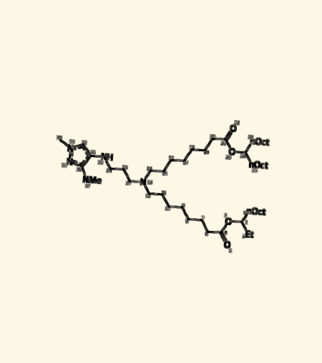 CCCCCCCCC(CC)OC(=O)CCCCCCCN(CCCCCCCC(=O)OC(CCCCCCCC)CCCCCCCC)CCCNc1cn(C)nc1NC